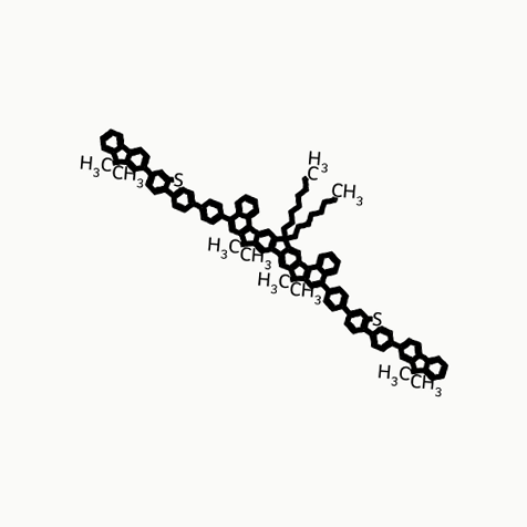 CCCCCCCCC1(CCCCCCCC)c2cc3c(cc2-c2cc4c(cc21)-c1c(cc(-c2ccc(-c5ccc6c(c5)sc5cc(-c7ccc8c(c7)C(C)(C)c7ccccc7-8)ccc56)cc2)c2ccccc12)C4(C)C)C(C)(C)c1cc(-c2ccc(-c4ccc5c(c4)sc4cc(-c6ccc7c(c6)C(C)(C)c6ccccc6-7)ccc45)cc2)c2ccccc2c1-3